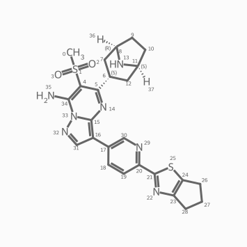 CS(=O)(=O)c1c([C@@H]2C[C@H]3CC[C@@H](C2)N3)nc2c(-c3ccc(-c4nc5c(s4)CCC5)nc3)cnn2c1N